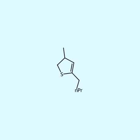 CCCCC1=CC(C)CS1